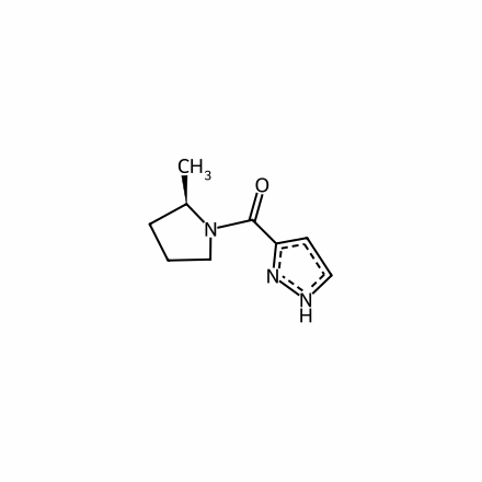 C[C@@H]1CCCN1C(=O)c1cc[nH]n1